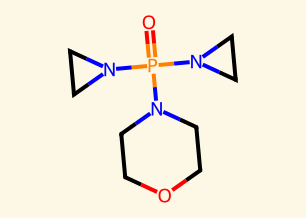 O=P(N1CCOCC1)(N1CC1)N1CC1